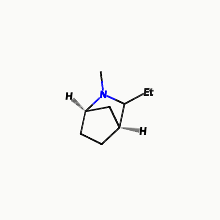 CCC1[C@H]2CC[C@H](C2)N1C